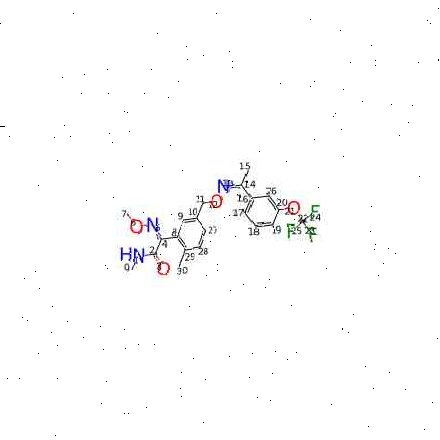 CNC(=O)/C(=N\OC)c1cc(CO/N=C(/C)c2cccc(OC(F)(F)F)c2)ccc1C